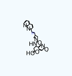 COc1ccc(C(CC(=O)O)NC(=O)N2CC(/C=C/c3ccc4cccnc4n3)C2)cn1